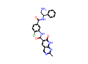 Cc1ncc2cc(C(=O)Nc3cc(C(=O)NC(CN)c4ccccc4)ccc3Cl)c(=O)[nH]c2n1